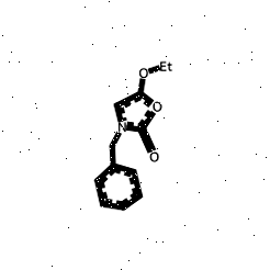 CCOc1cn(Cc2ccccc2)c(=O)o1